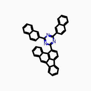 c1ccc2c(c1)-c1ccc(-c3nc(-c4ccc5ccccc5c4)nc(-c4ccc5ccccc5c4)n3)c3c1c-2cc1ccccc13